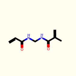 C=CC(=O)NCNC(=O)C(=C)C